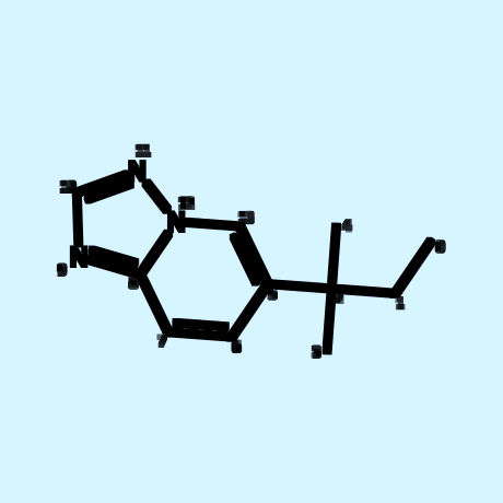 CCC(C)(C)c1ccc2ncnn2c1